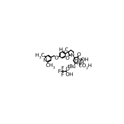 Cc1cc(COc2ccc(C3(C)CCN(C(C[C@@H](NC(=O)O)C(C)(C)C)C(=O)NO)C3=O)cc2)cc(C)n1.O=C(O)C(F)(F)F